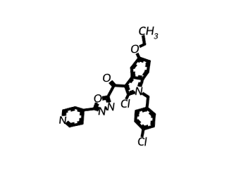 CCOc1ccc2c(c1)c(C(=O)c1nnc(-c3ccncc3)o1)c(Cl)n2Cc1ccc(Cl)cc1